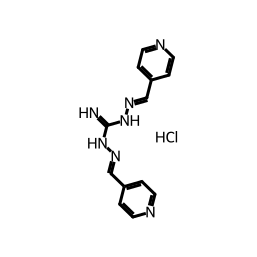 Cl.N=C(NN=Cc1ccncc1)NN=Cc1ccncc1